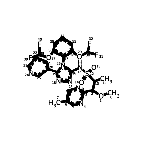 COC(c1ncc(C)cn1)C(C)S(=O)(=O)Nc1nnc(-c2cccnc2)n1-c1c(OC(F)F)cccc1OC(F)F